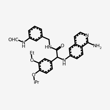 CCOc1cc(C(Nc2ccc3c(N)nccc3c2)C(=O)NCc2cccc(NC=O)c2)ccc1OC(C)C